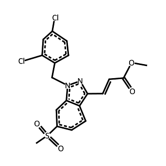 COC(=O)C=Cc1nn(Cc2ccc(Cl)cc2Cl)c2cc(S(C)(=O)=O)ccc12